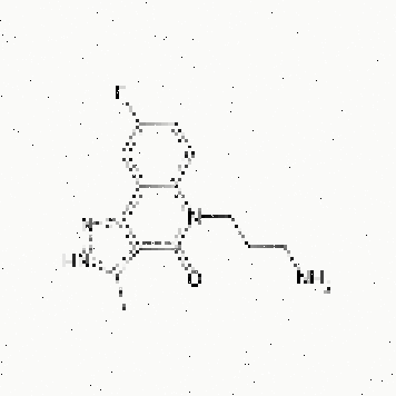 Cc1[nH]nc2c1c(=O)n(CCCN)c1ccc(F)cc21